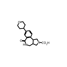 O=C1NCC2CN(C(=O)O)CC2c2ccc(C3CCOCC3)cc21